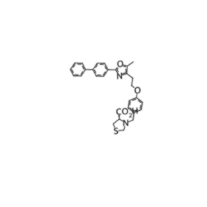 Cc1oc(-c2ccc(-c3ccccc3)cc2)nc1CCOc1ccc(CN2CSC[C@H]2C(=O)O)cc1